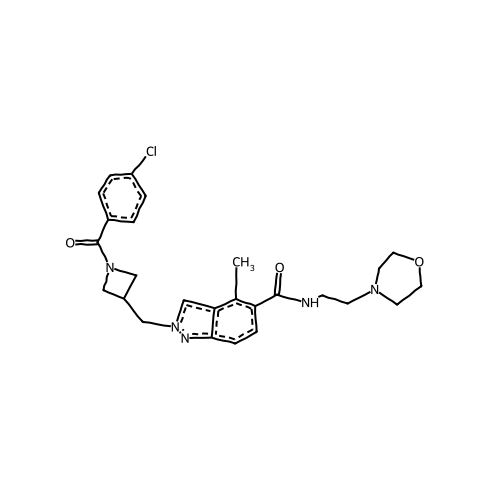 Cc1c(C(=O)NCCN2CCOCC2)ccc2nn(CC3CN(C(=O)c4ccc(Cl)cc4)C3)cc12